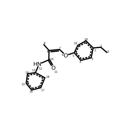 CCc1ccc(OC=C(C)C(=O)Nc2ccccc2)cc1